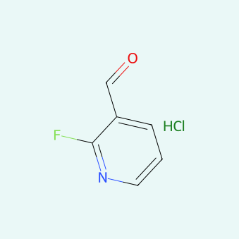 Cl.O=Cc1cccnc1F